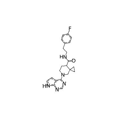 O=C(NCCc1ccc(F)cc1)C1CCN(c2ncnc3[nH]ccc23)CC12CC2